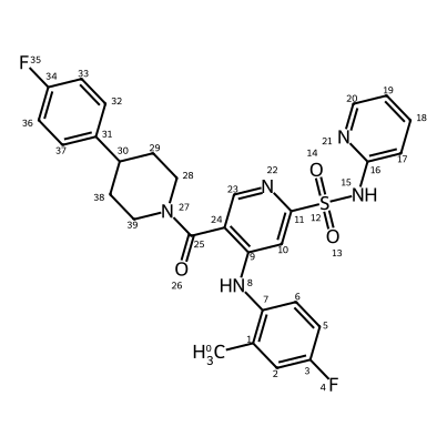 Cc1cc(F)ccc1Nc1cc(S(=O)(=O)Nc2ccccn2)ncc1C(=O)N1CCC(c2ccc(F)cc2)CC1